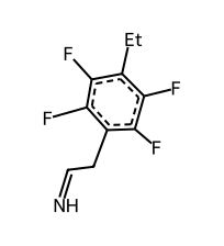 CCc1c(F)c(F)c(CC=N)c(F)c1F